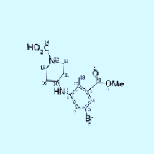 COC(=O)c1cc(Br)cc(NC2CCN(C(=O)O)CC2)c1C